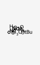 Cc1oc(C(C)(C)C)cc1C(=O)N1CCC2(CC1)CC(C(=O)NC1CCCC1)=NO2